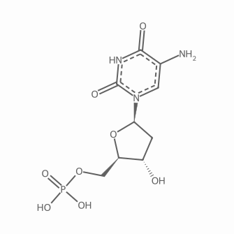 Nc1cn([C@H]2C[C@H](O)[C@@H](COP(=O)(O)O)O2)c(=O)[nH]c1=O